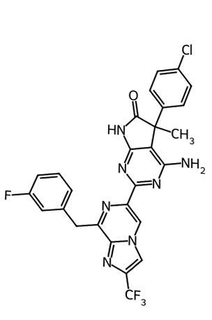 CC1(c2ccc(Cl)cc2)C(=O)Nc2nc(-c3cn4cc(C(F)(F)F)nc4c(Cc4cccc(F)c4)n3)nc(N)c21